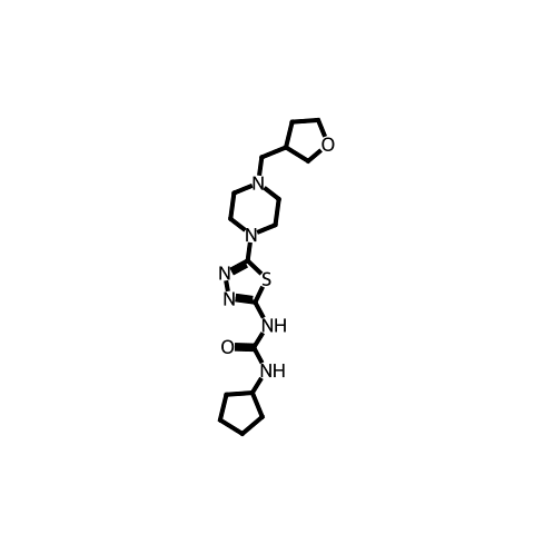 O=C(Nc1nnc(N2CCN(CC3CCOC3)CC2)s1)NC1CCCC1